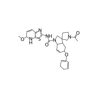 COC1C=Cc2nc(NC(=O)N3CC4(CCN(C(C)=O)C4)C4CC(OC5=CCCC=C5)C=CC43)sc2N1